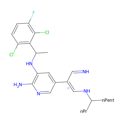 CCCCCC(CCC)N/C=C(\C=N)c1cnc(N)c(NC(C)c2c(Cl)ccc(F)c2Cl)c1